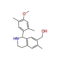 COc1cc(C)c(C2NCCc3cc(C)c(CO)cc32)cc1C